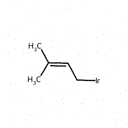 CC(C)=C[CH2][Ir]